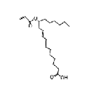 C=CC(=O)OC(CC=CCCCCCCCC(=O)O)CCCCCC